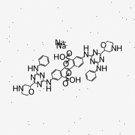 O=S(=O)(O)c1cc(Nc2nc(Nc3ccccc3)nc(C3CNCCO3)n2)ccc1C=Cc1ccc(Nc2nc(Nc3ccccc3)nc(C3CNCCO3)n2)cc1S(=O)(=O)O.[Na].[Na]